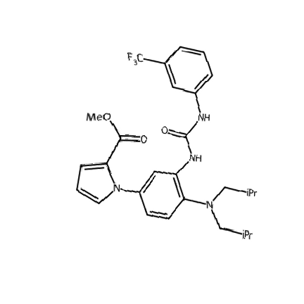 COC(=O)c1cccn1-c1ccc(N(CC(C)C)CC(C)C)c(NC(=O)Nc2cccc(C(F)(F)F)c2)c1